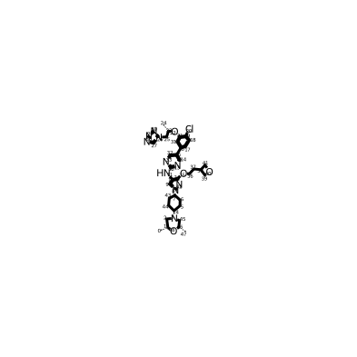 C[C@@H]1CN([C@H]2CC[C@H](n3cc(Nc4ncc(-c5ccc(Cl)c(O[C@@H](C)Cn6cnnn6)c5)cn4)c(OCCC4COC4)n3)CC2)C[C@H](C)O1